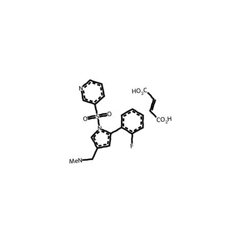 CNCc1cc(-c2ccccc2F)n(S(=O)(=O)c2cccnc2)c1.O=C(O)C=CC(=O)O